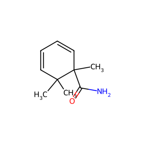 CC1(C)C=CC=CC1(C)C(N)=O